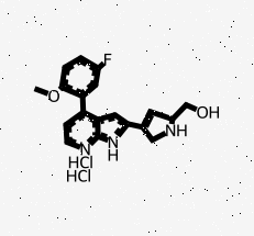 COc1ccc(F)cc1-c1ccnc2[nH]c(C3=CC(CO)NC3)cc12.Cl.Cl